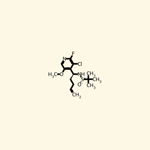 C=CCC[C@H](N[S@@+]([O-])C(C)(C)C)c1c(OC)cnc(F)c1Cl